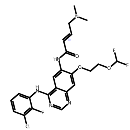 CN(C)C/C=C/C(=O)Nc1cc2c(Nc3cccc(Cl)c3F)ncnc2cc1OCCOC(F)F